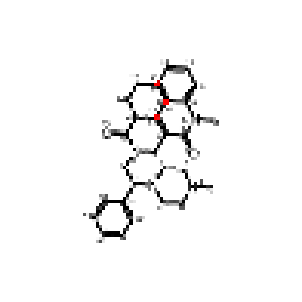 CN1CCN(C(CN(Cc2cc3ccccc3n(C)c2=O)C(=O)C2CCCCC2)c2ccccc2)CC1